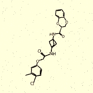 Cc1cc(OCC(=O)NC23CC(NC(=O)C4COc5ccccc5O4)(C2)C3)ccc1Cl